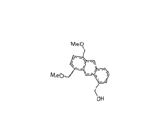 COCc1ccc(COC)c2cc3c(CO)cccc3cc12